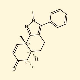 C[C@@H]1C(=O)C=C[C@]2(C)c3nn(C)c(-c4ccccc4)c3CC[C@@H]12